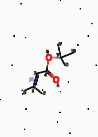 [CH2]/C(C)=C/C(=O)OC(C)(C)C